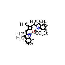 CCC[N+]1=C(C=C2C(=O)C(C=C3N(CC(=O)OCC)c4ccccc4C3(C)C)=C2C)C(C)(C)c2ccccc21